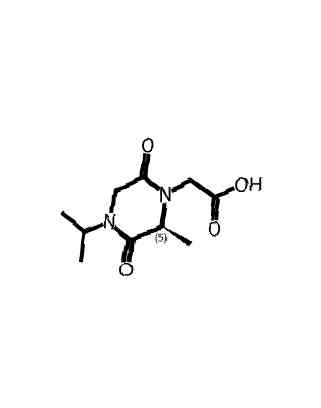 CC(C)N1CC(=O)N(CC(=O)O)[C@@H](C)C1=O